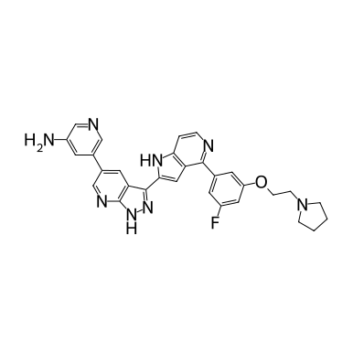 Nc1cncc(-c2cnc3[nH]nc(-c4cc5c(-c6cc(F)cc(OCCN7CCCC7)c6)nccc5[nH]4)c3c2)c1